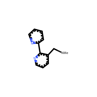 CNCc1cccnc1-c1ccccn1